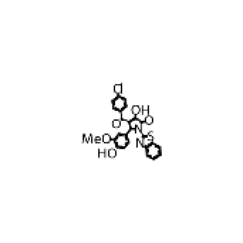 COc1cc(C2C(C(=O)c3ccc(Cl)cc3)=C(O)C(=O)N2c2nc3ccccc3s2)ccc1O